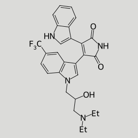 CCN(CC)CC(O)Cn1cc(C2=C(c3c[nH]c4ccccc34)C(=O)NC2=O)c2cc(C(F)(F)F)ccc21